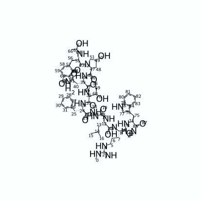 CNC(=N)NCCC[C@H](NC(=O)[C@H](CC(C)C)NC(=O)NNC(=O)[C@H](Cc1ccccc1)NC(=O)[C@@H](NC(=O)[C@H](CC(N)=O)NC(=O)[C@@H]1C[C@@H](O)CN1C(=O)[C@@H](Cc1ccc(O)cc1)NC(C)O)[C@@H](C)O)C(=O)N[C@@H](Cc1c[nH]c2ccccc12)C(N)=O